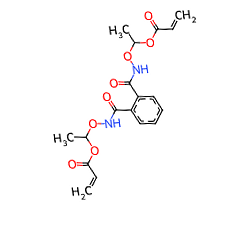 C=CC(=O)OC(C)ONC(=O)c1ccccc1C(=O)NOC(C)OC(=O)C=C